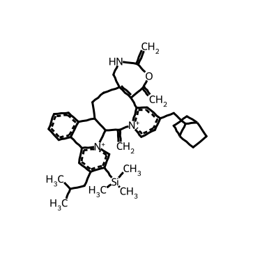 C=C1NCC2=C(C(=C)O1)c1cc(CC3C4CCC3CC4)cc[n+]1C(=C)C1C(CC2)c2ccccc2-c2cc(CC(C)C)c([Si](C)(C)C)c[n+]21